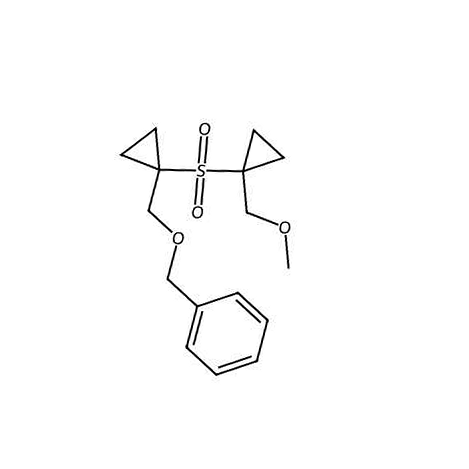 COCC1(S(=O)(=O)C2(COCc3ccccc3)CC2)CC1